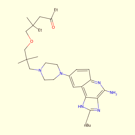 CCCCc1nc2c(N)nc3ccc(N4CCN(CC(C)(C)COCC(C)(CC)CC(=O)CC)CC4)cc3c2[nH]1